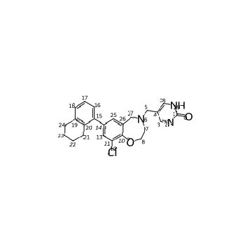 O=c1ncc(CN2CCOc3c(Cl)cc(-c4cccc5c4CCCC5)cc3C2)c[nH]1